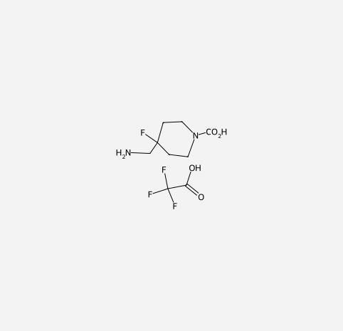 NCC1(F)CCN(C(=O)O)CC1.O=C(O)C(F)(F)F